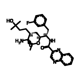 CC(=O)O[C@@H](C[C@@H](CCC(C)(C)O)C(N)=O)[C@H](Cc1cccc(F)c1)NC(=O)c1cnc2ccccc2n1